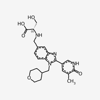 Cc1cc(-c2nc3cc(CN[C@@H](CO)C(=O)O)ccc3n2CC2CCOCC2)c[nH]c1=O